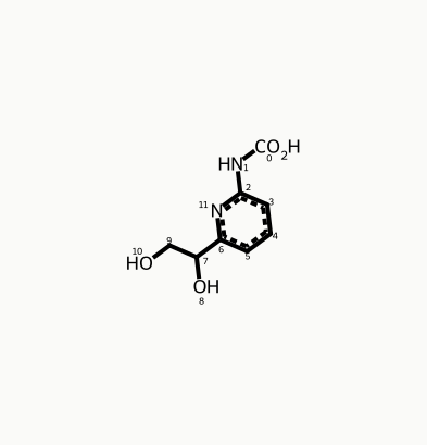 O=C(O)Nc1cccc(C(O)CO)n1